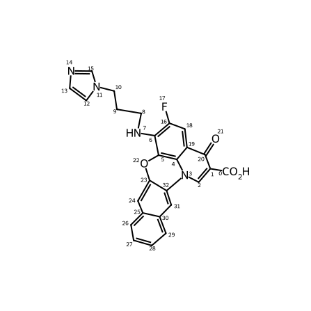 O=C(O)c1cn2c3c(c(NCCCn4ccnc4)c(F)cc3c1=O)Oc1cc3ccccc3cc1-2